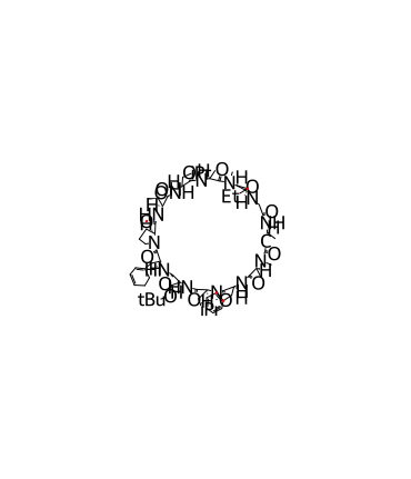 CC[C@H]1[C@H]2C(=O)N1CC(=O)N[C@@H](C)CC(=O)N(C)[C@H](C)C(=O)N[C@@H](Cc1ccccc1)C(=O)N(C)[C@@H](CC(C)C)C(=O)N[C@@H](COC(C)(C)C)C(=O)N[C@@H](CC1=CC=CCC1)C(=O)N1CCC[C@H]1C(=O)N[C@@H]([C@@H](C)O)C(=O)N[C@@H](CC(C)C)C(=O)N(C)[C@@H](C)C(=O)N2C